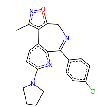 Cc1noc2c1-c1ccc(N3CCCC3)nc1C(c1ccc(Cl)cc1)=NC2